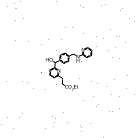 CCOC(=O)CCc1cccc(C(O)c2ccc(CNc3ccccn3)cc2)n1